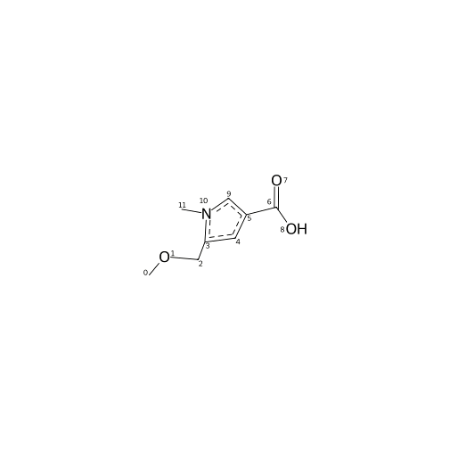 COCc1cc(C(=O)O)cn1C